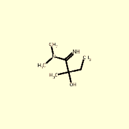 CCC(C)(O)C(=N)N(C)C